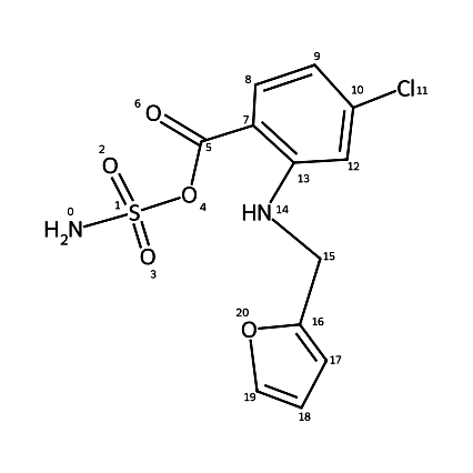 NS(=O)(=O)OC(=O)c1ccc(Cl)cc1NCc1ccco1